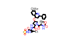 CCC1CC1(NC(=O)C1CC(Oc2cc(-c3ccccc3)nc3cc(OC)ccc23)CN1C(=O)C(NC(=O)OC(C)C)C(C)C)C(=O)NS(C)(=O)=O